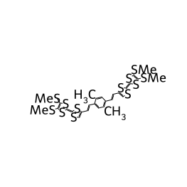 CSC1=C(SC)SC(=C2SC=C(/C=C/c3cc(C)c(/C=C/C4=CSC(=C5SC(SC)=C(SC)S5)S4)cc3C)S2)S1